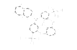 CC(C)(C)c1ccc2c3c1Oc1cccc4c1P3c1c(ccc(C(C)(C)C)c1O4)N2c1ccc2ccccc2c1